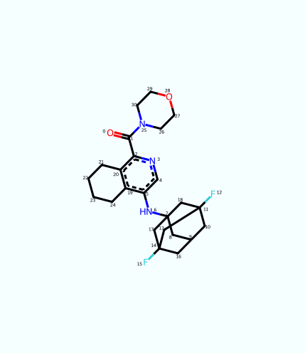 O=C(c1ncc(NC23CC4CC(F)(CC(F)(C4)C2)C3)c2c1CCCC2)N1CCOCC1